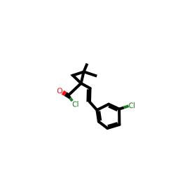 CC1(C)CC1(C=Cc1cccc(Cl)c1)C(=O)Cl